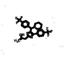 C=C(O)Cc1nc(-c2ccc(C(F)(F)F)cc2)c(C(c2ccc(C(F)(F)F)cc2)N2CCCCC2)s1